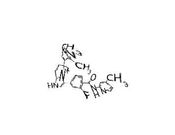 Cc1ccnc(NC(=O)c2ccc(C3=CNC4C=CC5(c6cn(C)nc6C)C[N+]345)cc2F)c1